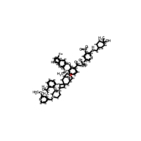 COc1cc(CN2CCN(C3CC4(CC5COCC(C4)N5c4ccc(C(=O)NS(=O)(=O)c5cnc(NCC6CCC(C)(O)CC6)c([N+](=O)[O-])c5)c(Oc5cc6c(F)c[nH]c6nc5OC)c4)C3)[C@H](c3ccccc3C(C)C)C2)ccn1